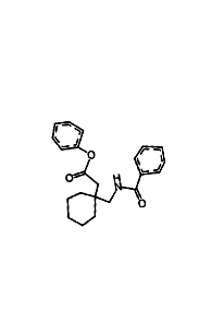 O=C(CC1(CNC(=O)c2ccccc2)CCCCC1)Oc1ccccc1